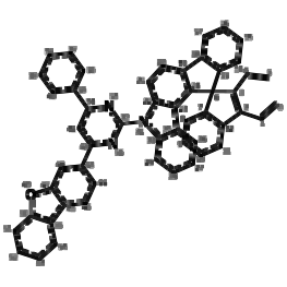 C=CC1=C(C=C)C2(c3ccccc31)c1ccccc1-c1ccc3c(c12)c1ccccc1n3-c1nc(-c2ccccc2)cc(-c2ccc3c(c2)oc2ccccc23)n1